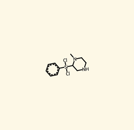 CN1CCNCC1[Si](Cl)(Cl)c1ccccc1